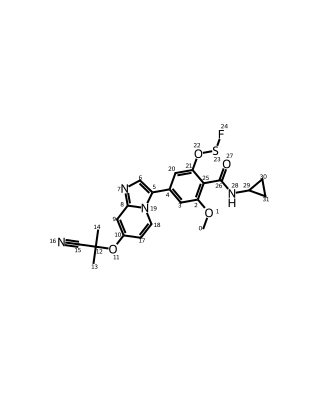 COc1cc(-c2cnc3cc(OC(C)(C)C#N)ccn23)cc(OSF)c1C(=O)NC1CC1